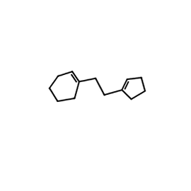 C1=C(CCC2=CCCCC2)CCC1